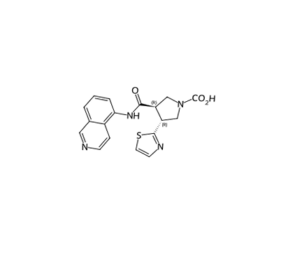 O=C(Nc1cccc2cnccc12)[C@H]1CN(C(=O)O)C[C@@H]1c1nccs1